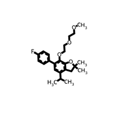 COCCOCCOc1c(-c2ccc(F)cc2)cc(C(C)C)c2c1OC(C)(C)C2